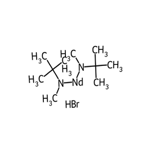 Br.C[N]([Nd][N](C)C(C)(C)C)C(C)(C)C